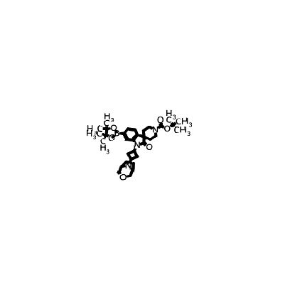 CC(C)(C)OC(=O)N1CCC2(CC1)C(=O)N(C1CC(N3C4CCC3COC4)C1)c1cc(B3OC(C)(C)C(C)(C)O3)ccc12